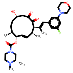 C/C(=C\c1cc(F)cc(N2CCOCC2)c1)[C@@H]1C(=O)C(=O)C[C@@H](O)CC[C@H](C)[C@@H](OC(=O)N2CCN(C)[C@@H](C)C2)/C=C/[C@H]1C